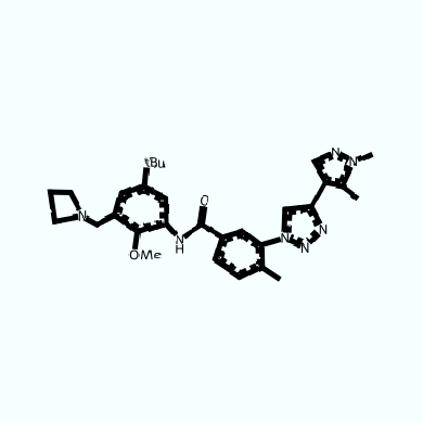 COc1c(CN2CCC2)cc(C(C)(C)C)cc1NC(=O)c1ccc(C)c(-n2cc(-c3cnn(C)c3C)nn2)c1